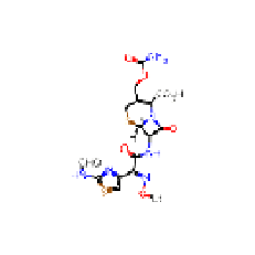 CCON=C(C(=O)NC1C(=O)N2C(C(=O)O)=C(COC(N)=O)CS[C@@H]12)c1csc(NC=O)n1